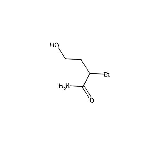 CCC(CCO)C(N)=O